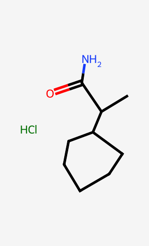 CC(C(N)=O)C1CCCCC1.Cl